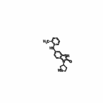 Cc1ccccc1Nc1ccc2c(c1)[nH]c(=O)n2C1CCNC1